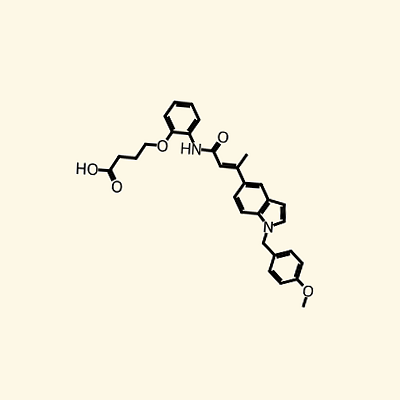 COc1ccc(Cn2ccc3cc(/C(C)=C/C(=O)Nc4ccccc4OCCCC(=O)O)ccc32)cc1